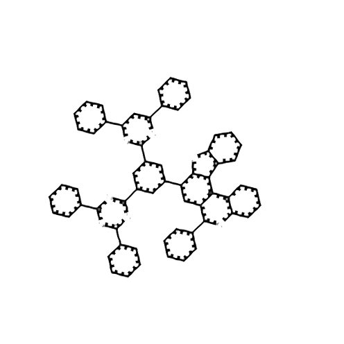 c1ccc(-c2cc(-c3ccccc3)nc(-c3cc(-c4nc(-c5ccccc5)nc(-c5ccccc5)n4)cc(-c4cc5c(-c6ccccc6)nc6ccccc6c5c5c4oc4ccccc45)c3)n2)cc1